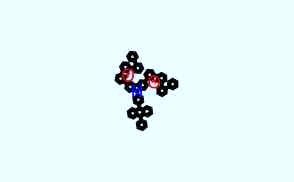 c1ccc(-c2ccccc2-c2cccc3c2oc2c(-c4ccc5c(c4)c4cc(-c6cccc7c6oc6c(-c8ccccc8-c8ccccc8)cccc67)ccc4n5-c4ccc(-c5c6ccccc6c(-c6ccccc6)c6ccccc56)cc4)cccc23)cc1